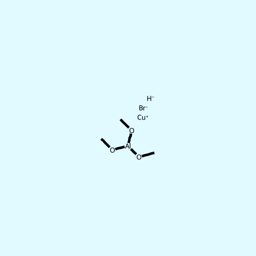 C[O][Al]([O]C)[O]C.[Br-].[Cu+].[H-]